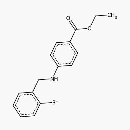 CCOC(=O)c1ccc(NCc2ccccc2Br)cc1